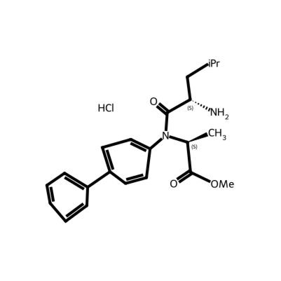 COC(=O)[C@H](C)N(C(=O)[C@@H](N)CC(C)C)c1ccc(-c2ccccc2)cc1.Cl